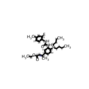 CCCCN(CCCC)c1ccc(/C(C)=C/C(=O)OCC)cc1NC(=O)Nc1ccc(C)cc1F